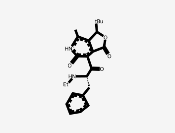 CCN[C@@H](Cc1ccccc1)C(=O)c1c2c(c(C)[nH]c1=O)C(C(C)(C)C)OC2=O